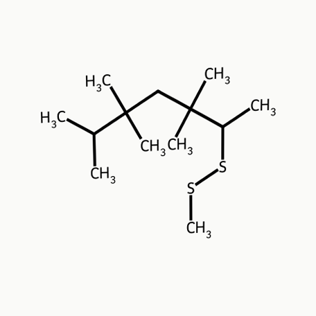 CSSC(C)C(C)(C)CC(C)(C)C(C)C